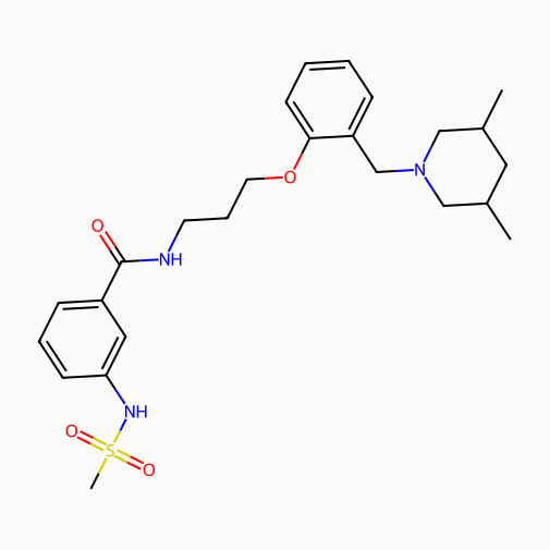 CC1CC(C)CN(Cc2ccccc2OCCCNC(=O)c2cccc(NS(C)(=O)=O)c2)C1